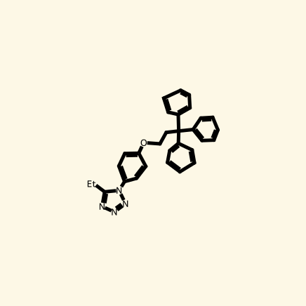 CCc1nnnn1-c1ccc(OCCC(c2ccccc2)(c2ccccc2)c2ccccc2)cc1